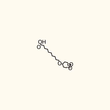 O=C(O)CCCCCCCCCOC1CCS(=O)(=O)CC1